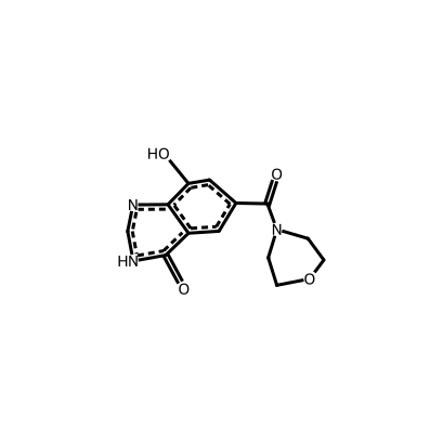 O=C(c1cc(O)c2nc[nH]c(=O)c2c1)N1CCOCC1